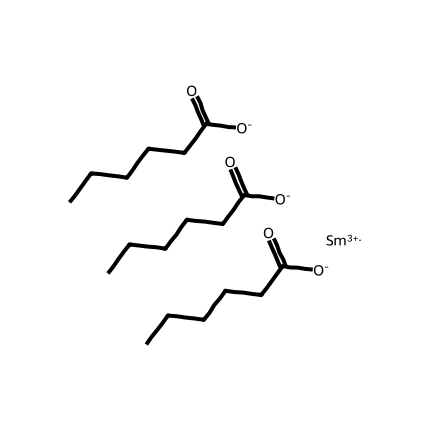 CCCCCC(=O)[O-].CCCCCC(=O)[O-].CCCCCC(=O)[O-].[Sm+3]